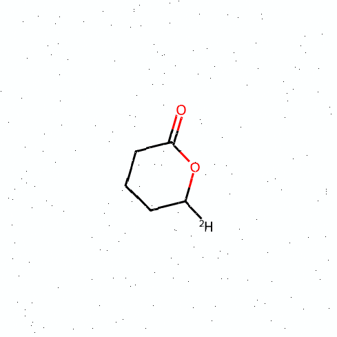 [2H]C1CCCC(=O)O1